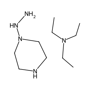 CCN(CC)CC.NNN1CCNCC1